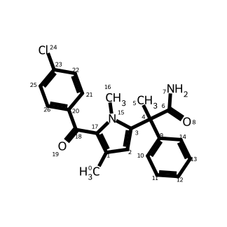 Cc1cc(C(C)(C(N)=O)c2ccccc2)n(C)c1C(=O)c1ccc(Cl)cc1